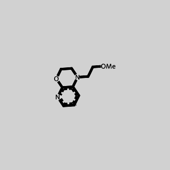 COCCN1CCOc2nc[c]cc21